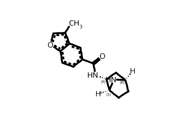 Cc1coc2ccc(C(=O)N[C@@H]3C[C@H]4CC[C@@H]3N4)cc12